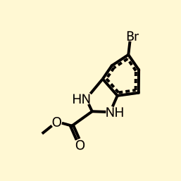 COC(=O)C1Nc2ccc(Br)cc2N1